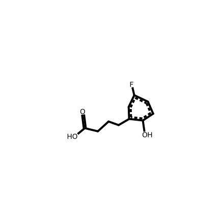 O=C(O)CCCc1cc(F)ccc1O